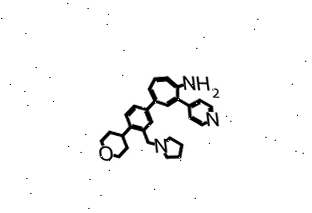 NC1=C=CC=C(c2ccc(C3CCOCC3)c(CN3CCCC3)c2)C=C1c1ccncc1